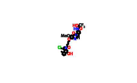 COc1cc2c(cc1OCCCCC(=O)N1C[C@@H](CCl)c3c1cc(O)c1cccc(C)c31)N=C[C@@H]1Cc3ccc(NC(=O)[C@@H](O)C(F)(F)F)cc3N1C2=O